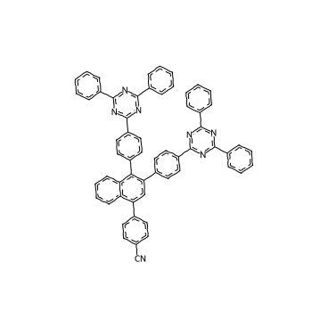 N#Cc1ccc(-c2cc(-c3ccc(-c4nc(-c5ccccc5)nc(-c5ccccc5)n4)cc3)c(-c3ccc(-c4nc(-c5ccccc5)nc(-c5ccccc5)n4)cc3)c3ccccc23)cc1